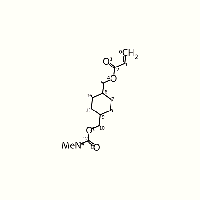 C=CC(=O)OCC1CCC(COC(=O)NC)CC1